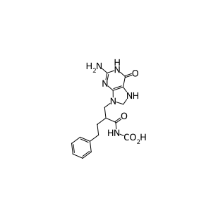 Nc1nc2c(c(=O)[nH]1)NCN2CC(CCc1ccccc1)C(=O)NC(=O)O